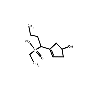 CCCC(C1=CCC(O)C1)P(=O)(O)CC